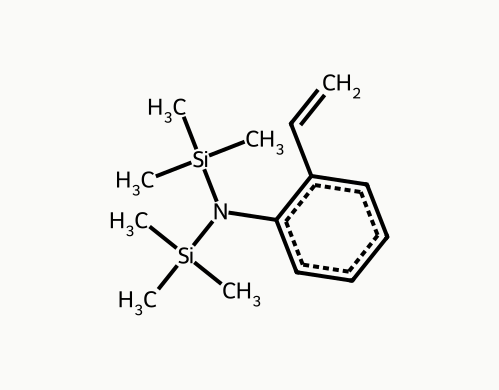 C=Cc1ccccc1N([Si](C)(C)C)[Si](C)(C)C